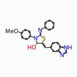 COc1ccc(N2/C(=N/c3ccccc3)S/C(=C\c3ccc4[nH]cnc4c3)C2O)cc1